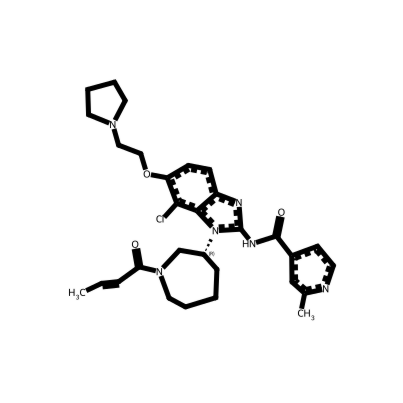 CC=CC(=O)N1CCCC[C@@H](n2c(NC(=O)c3ccnc(C)c3)nc3ccc(OCCN4CCCC4)c(Cl)c32)C1